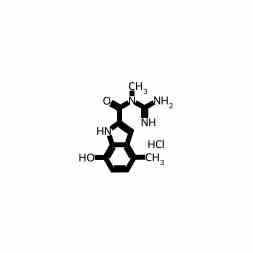 Cc1ccc(O)c2[nH]c(C(=O)N(C)C(=N)N)cc12.Cl